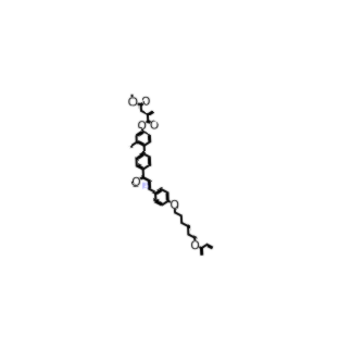 C=CC(=C)OCCCCCCOc1ccc(/C=C/C(=O)c2ccc(-c3ccc(OC(=O)C(=C)CC(=O)OC)cc3C)cc2)cc1